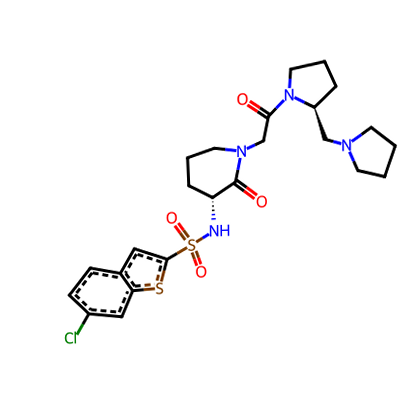 O=C1[C@H](NS(=O)(=O)c2cc3ccc(Cl)cc3s2)CCCN1CC(=O)N1CCC[C@H]1CN1CCCC1